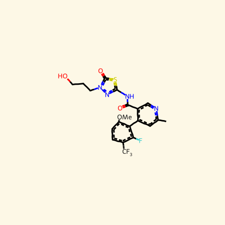 COc1ccc(C(F)(F)F)c(F)c1-c1cc(C)ncc1C(=O)Nc1nn(CCCO)c(=O)s1